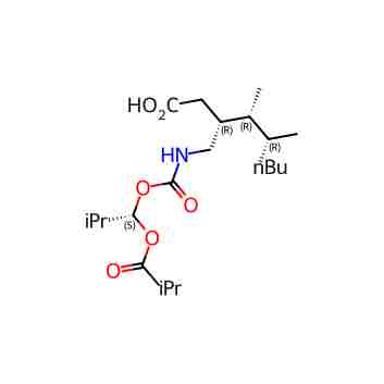 CCCC[C@@H](C)[C@@H](C)[C@H](CNC(=O)O[C@H](OC(=O)C(C)C)C(C)C)CC(=O)O